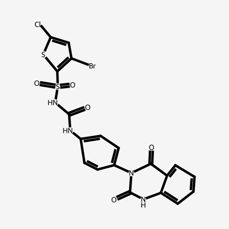 O=C(Nc1ccc(-n2c(=O)[nH]c3ccccc3c2=O)cc1)NS(=O)(=O)c1sc(Cl)cc1Br